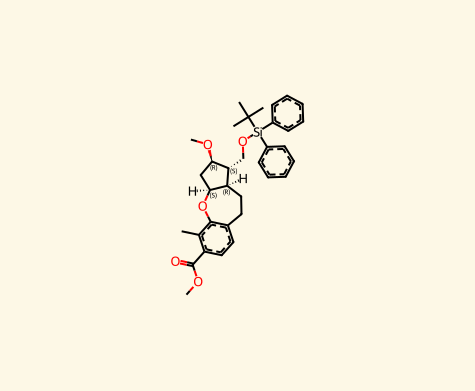 COC(=O)c1ccc2c(c1C)O[C@H]1C[C@@H](OC)[C@H](CO[Si](c3ccccc3)(c3ccccc3)C(C)(C)C)[C@H]1CC2